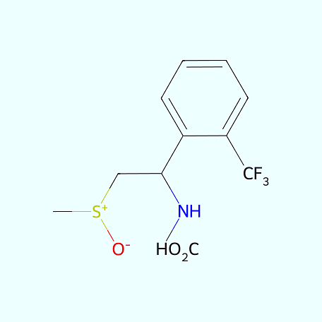 C[S+]([O-])CC(NC(=O)O)c1ccccc1C(F)(F)F